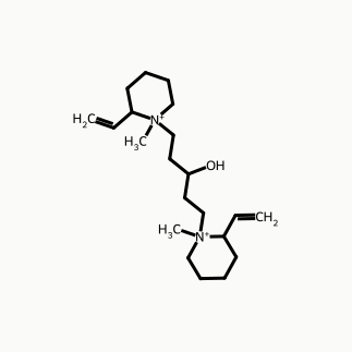 C=CC1CCCC[N+]1(C)CCC(O)CC[N+]1(C)CCCCC1C=C